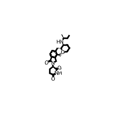 CC[C@H](C)N[C@H]1CCCO[C@@H]1Cc1ccc2c(c1F)CN(C1CCC(=O)NC1=O)C2=O